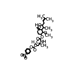 COC1C(OC(=O)NC(C)(C)COC(=O)Oc2ccc([N+](=O)[O-])cc2)CC[C@]2(CO2)C1C(C)C(O)CC=C(C)C